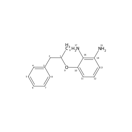 CC(Cc1ccccc1)Oc1cccc(N)c1N